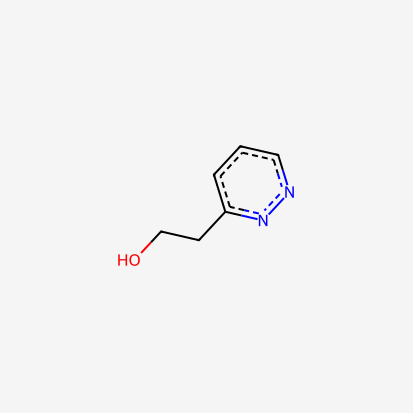 OCCc1cccnn1